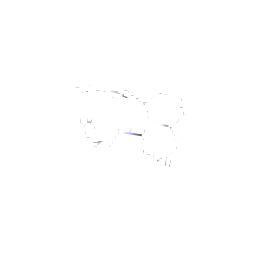 CC#CC1CC=CC(CC)=C1/C(C)=N/C=C\C